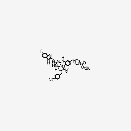 CN(C)C(=O)[C@H](Cc1ccc(C#N)cc1)NC(=N)/N=C(\N=C\Nc1cccc(CN2CCN(C(=O)OC(C)(C)C)CC2)c1)NCc1nc2cc(F)ccc2[nH]1